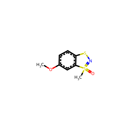 COc1ccc2c(c1)S(C)(=O)=NS2